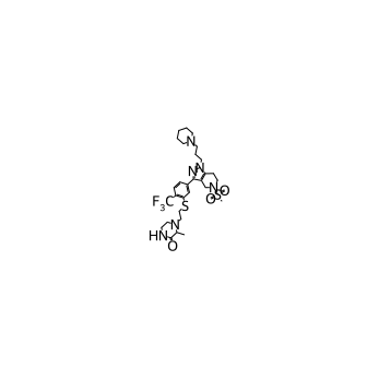 CC1C(=O)NCCN1CCSc1cc(-c2nn(CCCN3CCCCC3)c3c2CN(S(C)(=O)=O)CC3)ccc1C(F)(F)F